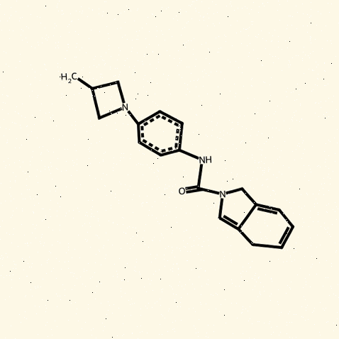 [CH2]C1CN(c2ccc(NC(=O)N3C=C4CC=CC=C4C3)cc2)C1